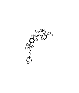 NC(=O)/C(=C1\Nc2ccc(S(=O)(=O)NCCCN3CCOCC3)cc2S1)c1nccc(C(F)(F)F)n1